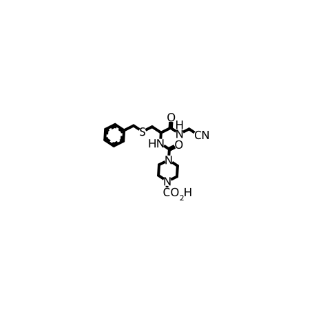 N#CCNC(=O)C(CSCc1ccccc1)NC(=O)N1CCN(C(=O)O)CC1